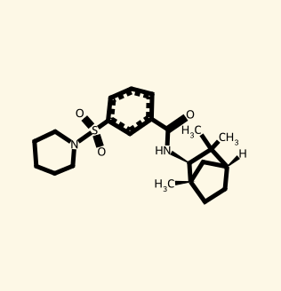 CC1(C)[C@@H]2CC[C@@](C)(C2)[C@H]1NC(=O)c1cccc(S(=O)(=O)N2CCCCC2)c1